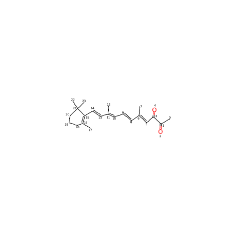 CC(=O)C(=O)/C=C(C)/C=C/C=C(C)/C=C/C1=C(C)CCCC1(C)C